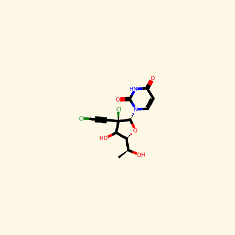 C[C@H](O)[C@H]1O[C@@H](n2ccc(=O)[nH]c2=O)[C@@](Cl)(C#CCl)C1O